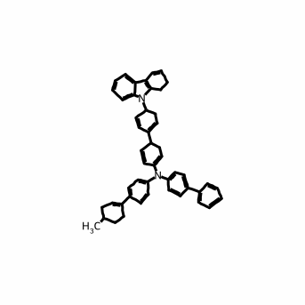 CC1CC=C(c2ccc(N(C3=CCC(C4=CCC(n5c6c(c7ccccc75)C=CCC6)C=C4)C=C3)c3ccc(-c4ccccc4)cc3)cc2)CC1